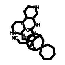 N#CCC1=C=NC2CC3(CCCCCC3)C(C1)NC(N)C2C(=O)NC1CNCCC1N1CCNCC1